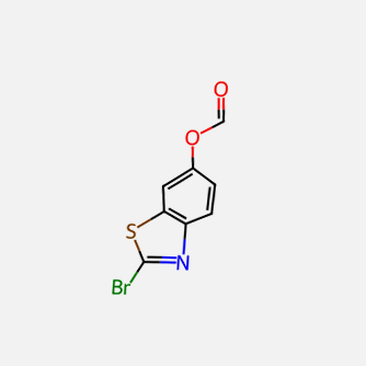 O=COc1ccc2nc(Br)sc2c1